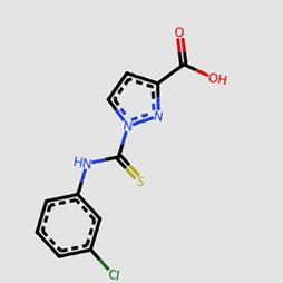 O=C(O)c1ccn(C(=S)Nc2cccc(Cl)c2)n1